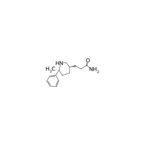 C[C@@]1(c2ccccc2)CC[C@H](CCC(N)=O)CN1